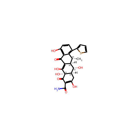 C[C@H]1c2c(-c3cccs3)ccc(O)c2C(=O)C2=C(O)[C@]3(O)C(=O)C(C(N)=O)=C(O)C[C@@H]3[C@@H](O)[C@@H]21